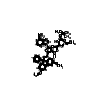 COc1ccc(C(OCC2OC(n3cnc4c(N)ncnc43)C(OC(=O)[C@H](CSSC)NC(=O)OC(C)(C)C)C2O)(c2ccccc2)c2ccc(OC)cc2)cc1